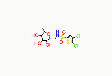 CC1OC(CNS(=O)(=O)c2cc(Cl)c(Cl)s2)C(O)C(O)C1O